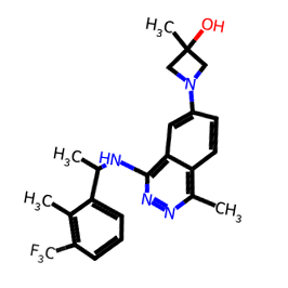 Cc1c(C(C)Nc2nnc(C)c3ccc(N4CC(C)(O)C4)cc23)cccc1C(F)(F)F